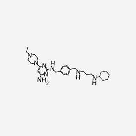 CCN1CCN(c2cc(N)nc(NCc3ccc(CNCCCNC4CCCCC4)cc3)n2)CC1